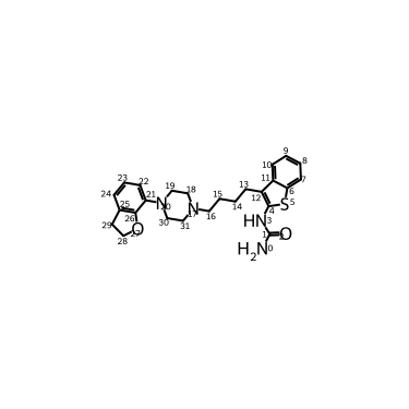 NC(=O)Nc1sc2ccccc2c1CCCCN1CCN(c2cccc3c2OCC3)CC1